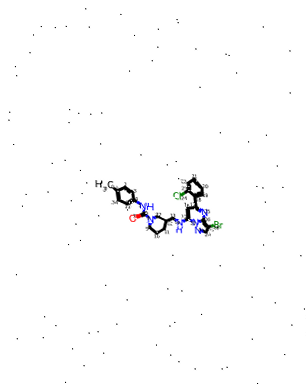 Cc1ccc(NC(=O)N2CCCC(CNc3cc(-c4ccccc4Cl)nc4c(Br)cnn34)C2)cc1